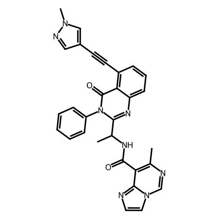 Cc1ncn2ccnc2c1C(=O)NC(C)c1nc2cccc(C#Cc3cnn(C)c3)c2c(=O)n1-c1ccccc1